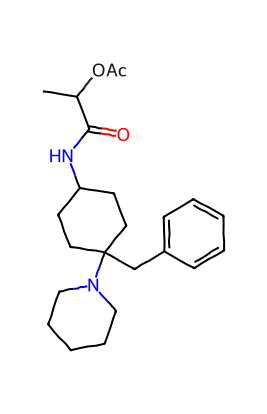 CC(=O)OC(C)C(=O)NC1CCC(Cc2ccccc2)(N2CCCCC2)CC1